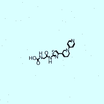 O=C(O)NCC(=O)Nc1nc(C2=CCCN(c3ccncc3)C2)cs1